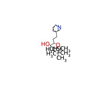 C[C@@H](O)C(CCc1cccnc1)O[Si](C)(C)C(C)(C)C